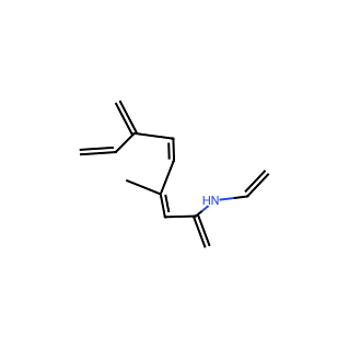 C=CNC(=C)/C=C(C)\C=C/C(=C)C=C